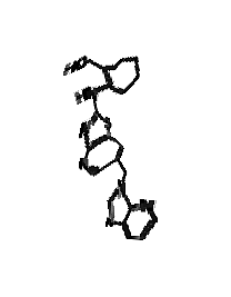 OC1CCCCC1Nc1nc2ncc(Cn3cnc4cccnc43)cc2s1